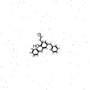 O=CCc1cc(Cc2ccccc2)cc(Cc2ccccc2)c1O